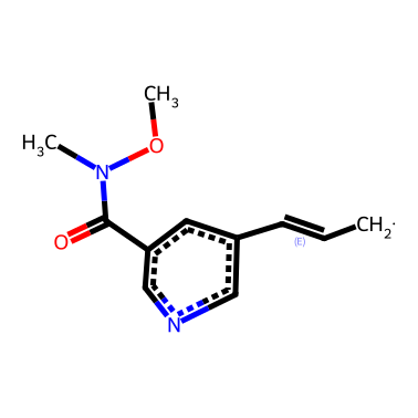 [CH2]/C=C/c1cncc(C(=O)N(C)OC)c1